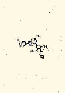 C\C=C(/C=N\C(C)=C(\C=C(\C)CC)c1cc(C)c(C(=O)OC2CCC2)c(OC)c1)C(=CC(C)CC)/C=C(/C)CC